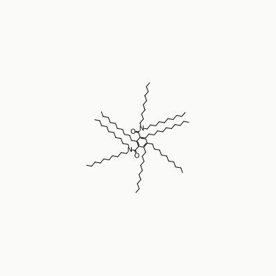 CCCCCCCCCCc1c(CCCCCCCCCC)c(C(=O)N(CCCCCCCCCC)CCCCCCCCCC)c(CCCCCCCCCC)c(C(=O)N(CCCCCCCCCC)CCCCCCCCCC)c1CCCCCCCCCC